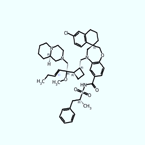 CC/C=C/[C@](CN1CCN2CCCC[C@@H]2C1)(OC)[C@@H]1CC[C@H]1CN1C[C@@]2(CCCc3cc(Cl)ccc32)COc2ccc(C(=O)NS(=O)(=O)[C@H](C)Cc3ccccc3)cc21